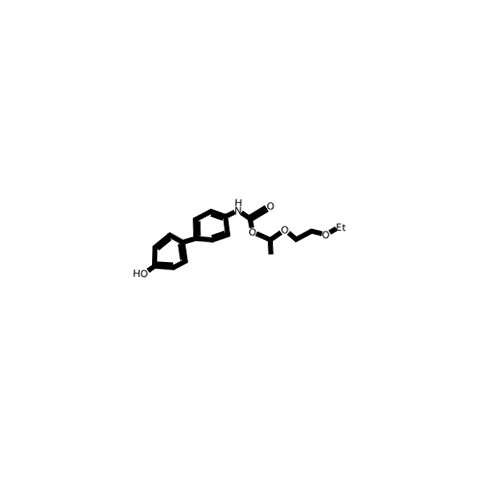 CCOCCOC(C)OC(=O)Nc1ccc(-c2ccc(O)cc2)cc1